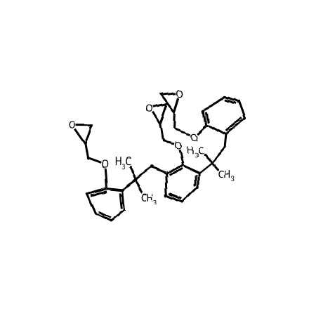 CC(C)(Cc1cccc(C(C)(C)Cc2ccccc2OCC2CO2)c1OCC1CO1)c1ccccc1OCC1CO1